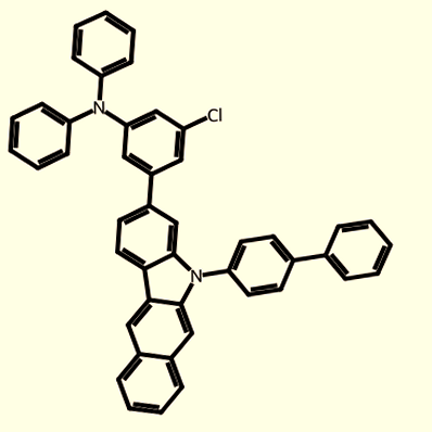 Clc1cc(-c2ccc3c4cc5ccccc5cc4n(-c4ccc(-c5ccccc5)cc4)c3c2)cc(N(c2ccccc2)c2ccccc2)c1